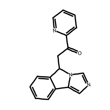 O=C(CC1c2ccccc2-c2cncn21)c1ccccn1